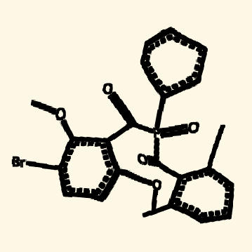 COc1ccc(Br)c(OC)c1C(=O)P(=O)(C(=O)c1c(C)cccc1C)c1ccccc1